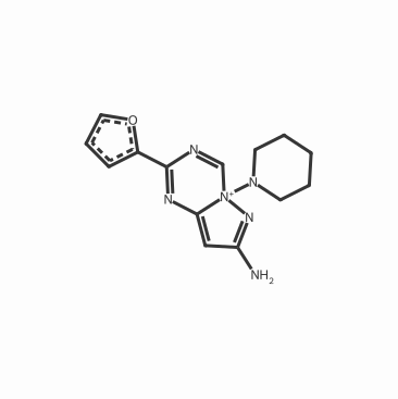 NC1=N[N+]2(N3CCCCC3)C=NC(c3ccco3)=NC2=C1